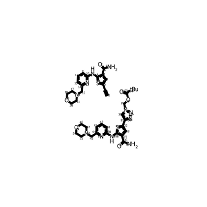 C#Cc1cc(C(N)=O)c(Nc2cccc(CN3CCOCC3)n2)s1.CC(C)(C)C(=O)OCn1cc(-c2cc(C(N)=O)c(Nc3cccc(CN4CCOCC4)n3)s2)nn1